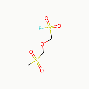 CS(=O)(=O)COCS(=O)(=O)F